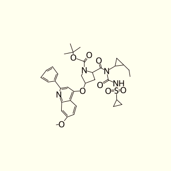 CCC1CC1N(C(=O)NS(=O)(=O)C1CC1)C(=O)C1CC(Oc2cc(-c3ccccc3)nc3cc(OC)ccc23)CN1C(=O)OC(C)(C)C